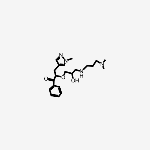 CN(C)CCCNCC(O)COC(Cc1cnn(C)c1)C(=O)c1ccccc1